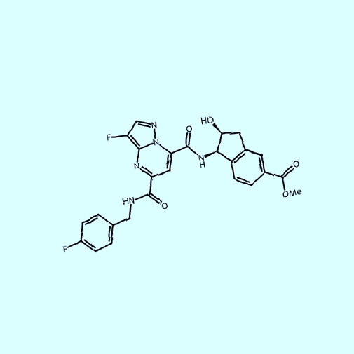 COC(=O)c1ccc2c(c1)C[C@H](O)[C@@H]2NC(=O)c1cc(C(=O)NCc2ccc(F)cc2)nc2c(F)cnn12